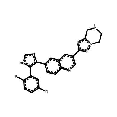 Fc1ccc(Cl)cc1-c1[nH]cnc1-c1ccc2ncc(-c3nc4n(n3)CCNC4)cc2c1